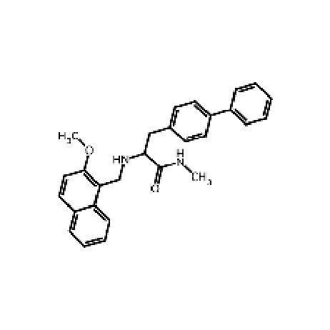 CNC(=O)C(Cc1ccc(-c2ccccc2)cc1)NCc1c(OC)ccc2ccccc12